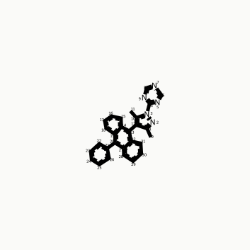 Cc1nn(-c2ncncn2)c(C)c1-c1c2ccccc2c(-c2ccccc2)c2ccccc12